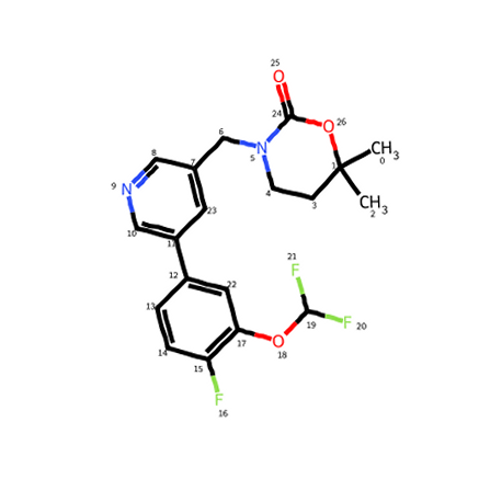 CC1(C)CCN(Cc2cncc(-c3ccc(F)c(OC(F)F)c3)c2)C(=O)O1